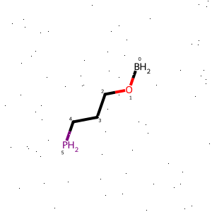 BOCCCP